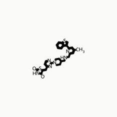 Cc1cc(CNCC2CCN(c3nccc(/C=C4\SC(=O)NC4=O)n3)CC2)nc(-c2csc3ccccc23)c1